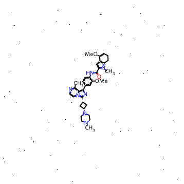 COC1=CCCc2c1cc(C(=O)Nc1ccc(-c3nc([C@H]4C[C@H](N5CCN(C)CC5)C4)n4ccnc(C)c34)cc1OC)n2C